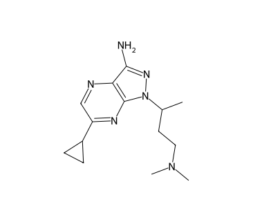 CC(CCN(C)C)n1nc(N)c2ncc(C3CC3)nc21